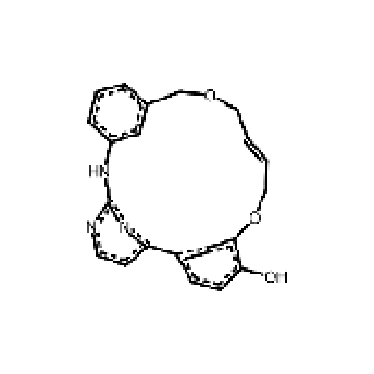 Oc1ccc2cc1OC/C=C/COCc1cccc(c1)Nc1nccc-2n1